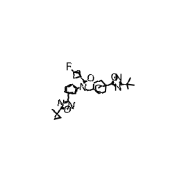 CC(C)(C)c1noc(C23CCC(CN(C(=O)C45CC(F)(C4)C5)c4cccc(-c5noc(C6(C)CC6)n5)c4)(CC2)CC3)n1